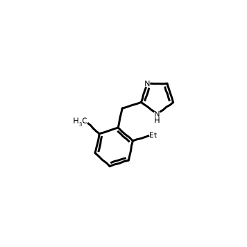 CCc1cccc(C)c1Cc1ncc[nH]1